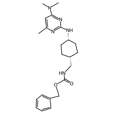 Cc1cc(N(C)C)nc(N[C@H]2CC[C@@H](CNC(=O)OCc3ccccc3)CC2)n1